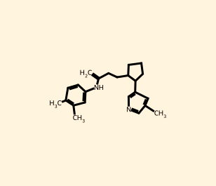 C=C(CCC1CCCC1c1cncc(C)c1)Nc1ccc(C)c(C)c1